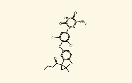 CCCC(=O)C1(c2cc(Oc3c(Cl)cc(-n4nc(N)c(=O)[nH]c4=O)cc3Cl)ccc2C)CC1(C)C